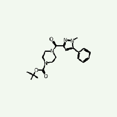 Cn1nc(C(=O)N2CCN(C(=O)OC(C)(C)C)CC2)cc1-c1ccccc1